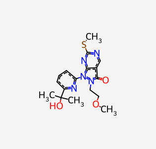 COCCn1c(=O)c2cnc(SC)nc2n1-c1cccc(C(C)(C)O)n1